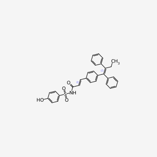 CC/C(=C(\c1ccccc1)c1ccc(/C=C/C(=O)NS(=O)(=O)c2ccc(O)cc2)cc1)c1ccccc1